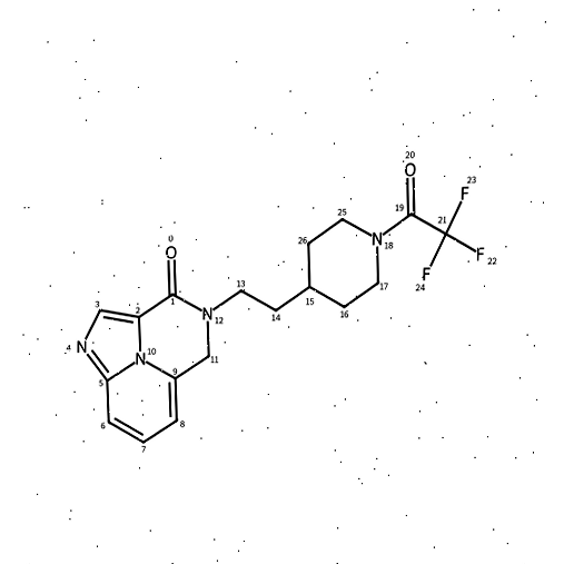 O=C1c2cnc3cccc(n23)CN1CCC1CCN(C(=O)C(F)(F)F)CC1